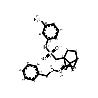 CC1(C)C2CCC1(CS(=O)(=O)Nc1cccc(C(F)(F)F)c1)C(=NOCc1ccccc1)C2